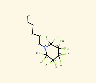 CCCCCCN1C(F)(F)C(F)(F)C(F)(F)C(F)(F)C1(F)F